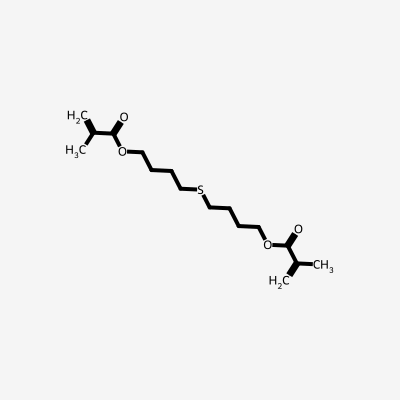 C=C(C)C(=O)OCCCCSCCCCOC(=O)C(=C)C